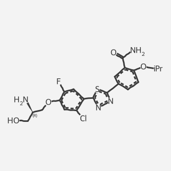 CC(C)Oc1ccc(-c2nnc(-c3cc(F)c(OC[C@H](N)CO)cc3Cl)s2)cc1C(N)=O